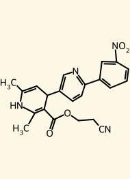 CC1=CC(c2ccc(-c3cccc([N+](=O)[O-])c3)nc2)C(C(=O)OCCC#N)=C(C)N1